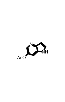 CC(=O)Oc1cnc2cc[nH]c2c1